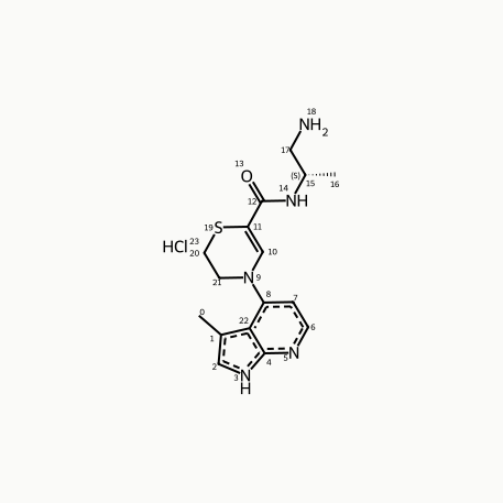 Cc1c[nH]c2nccc(N3C=C(C(=O)N[C@@H](C)CN)SCC3)c12.Cl